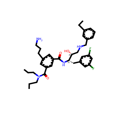 CCCN(CCC)C(=O)c1cc(CCCN)cc(C(=O)N[C@@H](Cc2cc(F)cc(F)c2)[C@H](O)CNCc2cccc(CC)c2)c1